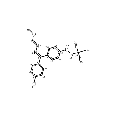 COC=NN=C(c1ccc(Cl)cc1)c1ccc(OSC(F)(F)F)cc1